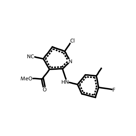 COC(=O)c1c(C#N)cc(Cl)nc1Nc1ccc(F)c(C)c1